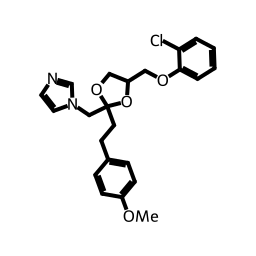 COc1ccc(CCC2(Cn3ccnc3)OCC(COc3ccccc3Cl)O2)cc1